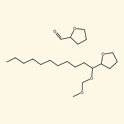 CCCCCCCCCCC(OCOC)C1CCCO1.O=CC1CCCO1